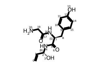 C=C[C@@H](O)NC(=O)[C@H](Cc1ccc(O)cc1)NC(=O)CN